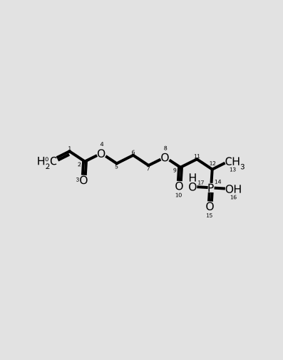 C=CC(=O)OCCCOC(=O)CC(C)P(=O)(O)O